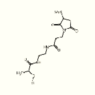 CCOC(C)C(=O)NCCNC(=O)CCN1C(=O)CC(SC)C1=O